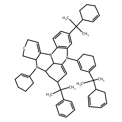 CC(C)(C1=CCCC(N2C3=CC(C(C)(C)c4ccccc4)CC4C3B(C3=CCCCC3N4C3=CCCCC3)c3ccc(C(C)(C)C4C=CCCC4)cc32)=C1)C1C=CC=CC1